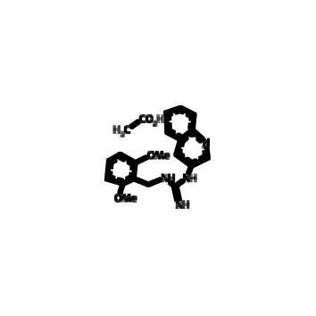 CC(=O)O.COc1cccc(OC)c1CNC(=N)Nc1cnc2ccccc2c1